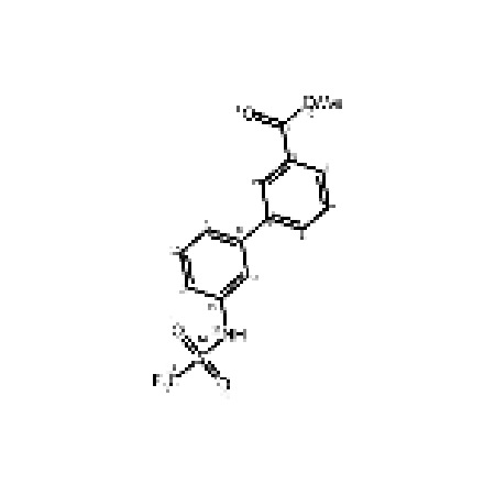 COC(=O)c1cccc(-c2cccc(NS(=O)(=O)C(F)(F)F)c2)c1